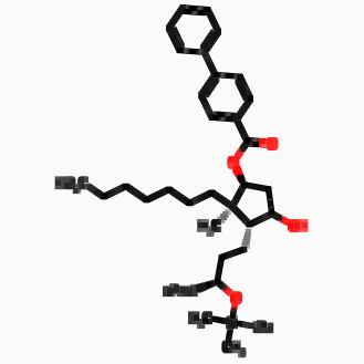 CCCCC[C@@H](CC[C@H]1C(O)C[C@H](OC(=O)c2ccc(-c3ccccc3)cc2)[C@]1(C)CCCCCCC(=O)O)O[Si](C)(C)C(C)(C)C